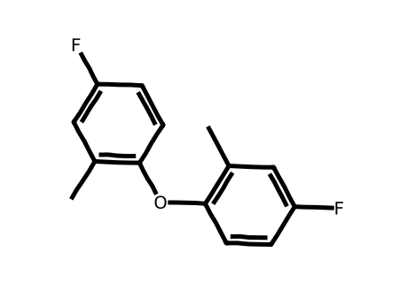 Cc1cc(F)ccc1Oc1ccc(F)cc1C